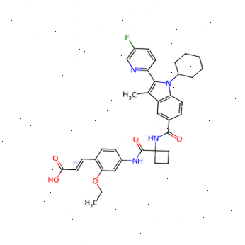 CCOc1cc(NC(=O)C2(NC(=O)c3ccc4c(c3)c(C)c(-c3ccc(F)cn3)n4C3CCCCC3)CCC2)ccc1/C=C/C(=O)O